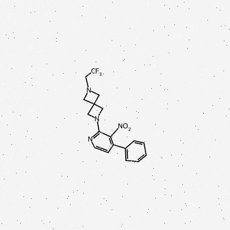 O=[N+]([O-])c1c(-c2ccccc2)ccnc1N1CC2(CN(CC(F)(F)F)C2)C1